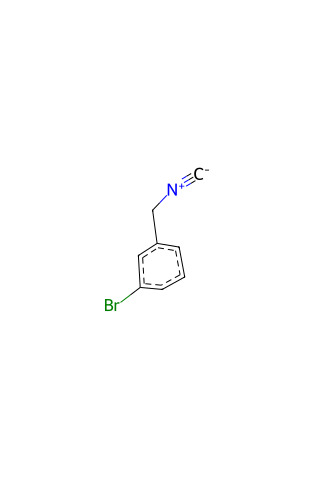 [C-]#[N+]Cc1cccc(Br)c1